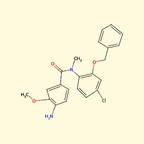 COc1cc(C(=O)N(C)c2ccc(Cl)cc2OCc2ccccc2)ccc1N